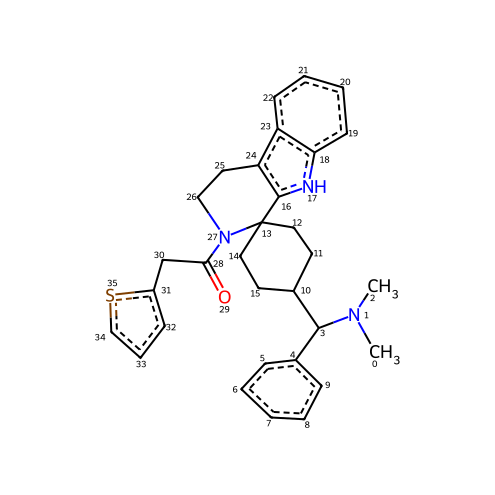 CN(C)C(c1ccccc1)C1CCC2(CC1)c1[nH]c3ccccc3c1CCN2C(=O)Cc1cccs1